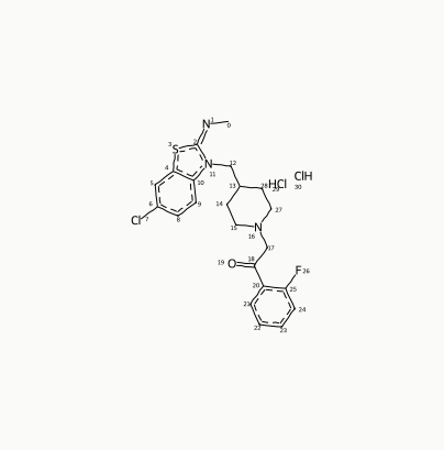 CN=c1sc2cc(Cl)ccc2n1CC1CCN(CC(=O)c2ccccc2F)CC1.Cl.Cl